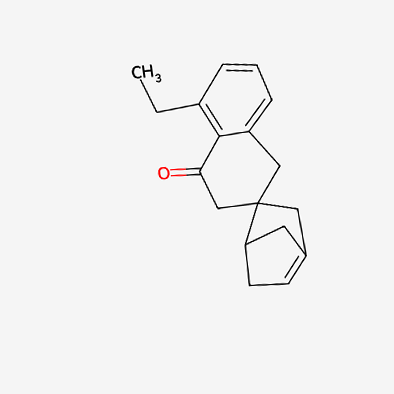 CCc1cccc2c1C(=O)CC1(CC3=CCC1C3)C2